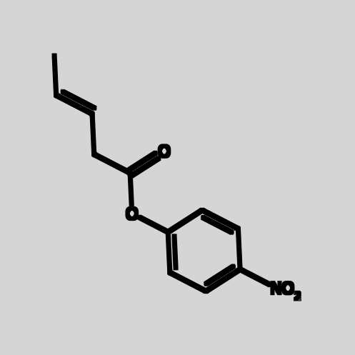 C/C=C/CC(=O)Oc1ccc([N+](=O)[O-])cc1